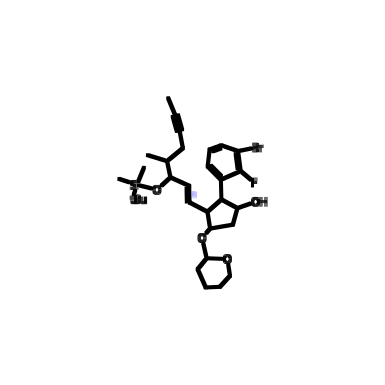 CC#CCC(C)C(/C=C/C1C(OC2CCCCO2)CC(O)C1c1cccc(Br)c1F)O[Si](C)(C)C(C)(C)C